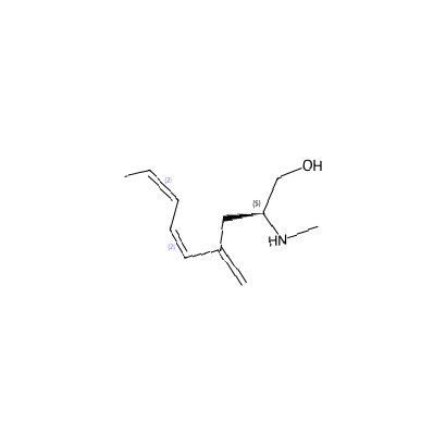 C=C(/C=C\C=C/C)C[C@@H](CO)NC